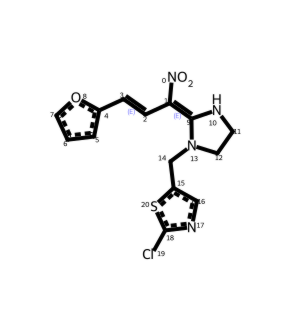 O=[N+]([O-])C(/C=C/c1ccco1)=C1\NCCN1Cc1cnc(Cl)s1